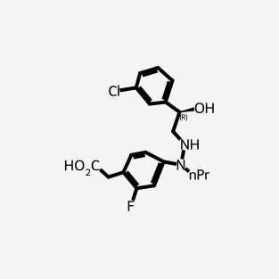 CCCN(NC[C@H](O)c1cccc(Cl)c1)c1ccc(CC(=O)O)c(F)c1